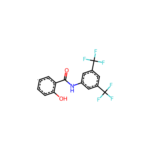 O=C(Nc1cc(C(F)(F)F)cc(C(F)(F)F)c1)c1c[c]ccc1O